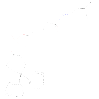 CC(C)C(C)CCNC(=O)CCCCOP(=O)(O)OC1CCC(c2ccccc2)(c2ccccc2)CC1